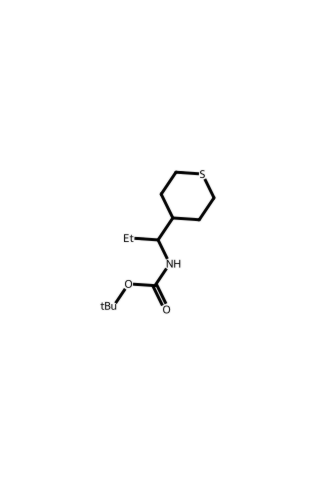 CCC(NC(=O)OC(C)(C)C)C1CCSCC1